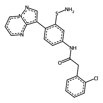 NSc1cc(NC(=O)Cc2ccccc2Cl)ccc1-c1cnn2cccnc12